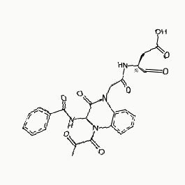 CC(=O)C(=O)N1c2ccccc2N(CC(=O)N[C@H](C=O)CC(=O)O)C(=O)C1NC(=O)c1ccccc1